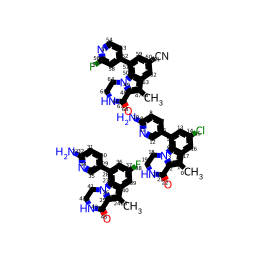 Cc1c2n(c3c(-c4ccc(N)nc4)cc(Cl)cc13)CCNC2=O.Cc1c2n(c3c(-c4ccc(N)nc4)cc(F)cc13)CCNC2=O.Cc1c2n(c3c(-c4ccnc(F)c4)cc(C#N)cc13)CCNC2=O